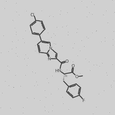 COC(=O)[C@H](Cc1ccc(F)cc1)NC(=O)c1cn2cc(-c3ccc(Cl)cc3)ccc2n1